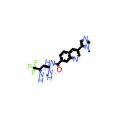 CN/C(=C\C(=N)C(F)(F)F)NC(=O)c1ccc2cc(-c3cncn3C)cnc2c1